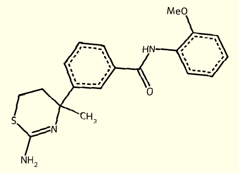 COc1ccccc1NC(=O)c1cccc(C2(C)CCSC(N)=N2)c1